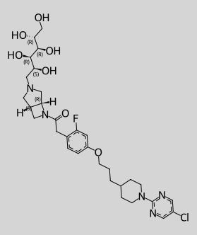 O=C(Cc1ccc(OCCCC2CCN(c3ncc(Cl)cn3)CC2)cc1F)N1C[C@@H]2CN(C[C@H](O)[C@@H](O)[C@H](O)[C@H](O)CO)C[C@@H]21